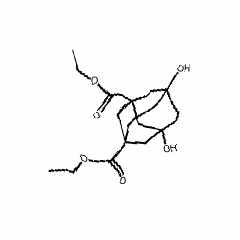 CCOC(=O)C12CC3(O)CC(O)(C1)CC(C(=O)OCC)(C3)C2